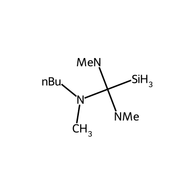 CCCCN(C)C([SiH3])(NC)NC